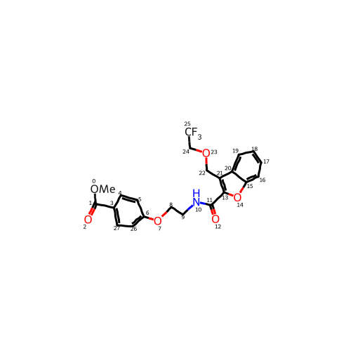 COC(=O)c1ccc(OCCNC(=O)c2oc3ccccc3c2COCC(F)(F)F)cc1